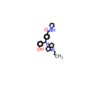 C=CCN1C2CCC3N(C(c4ccc(C(=O)NN5CCCC5)cc4)c4cccc(O)c4)C4CCC1C234